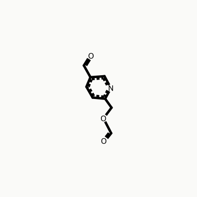 O=COCc1ccc(C=O)cn1